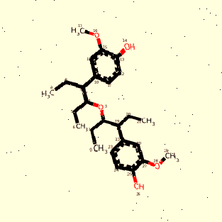 CCC(OC(CC)C(CC)c1ccc(O)c(OC)c1)C(CC)c1ccc(O)c(OC)c1